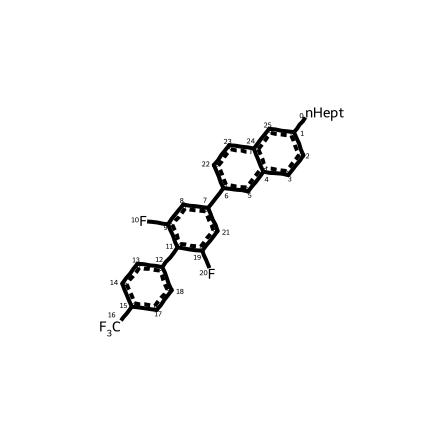 CCCCCCCc1ccc2cc(-c3cc(F)c(-c4ccc(C(F)(F)F)cc4)c(F)c3)ccc2c1